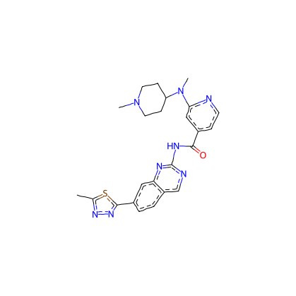 Cc1nnc(-c2ccc3cnc(NC(=O)c4ccnc(N(C)C5CCN(C)CC5)c4)nc3c2)s1